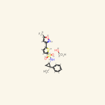 C[C@]1(c2ccccc2)C[C@@H]1NS(=O)(=O)c1ccc(-c2cc(C(F)(F)F)on2)s1.O=C(O)O